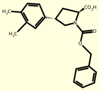 Cc1ccc([C@@H]2C[C@@H](C(=O)O)N(C(=O)OCc3ccccc3)C2)cc1C